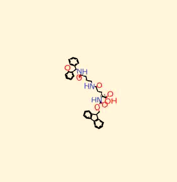 O=C(CC[C@H](NC(=O)OCC1c2ccccc2-c2ccccc21)C(=O)O)NCCCC(=O)NC1c2ccccc2Oc2ccccc21